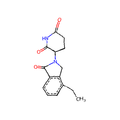 CCc1cccc2c1CN(C1CCC(=O)NC1=O)C2=O